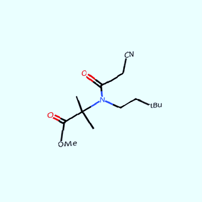 COC(=O)C(C)(C)N(CCC(C)(C)C)C(=O)CC#N